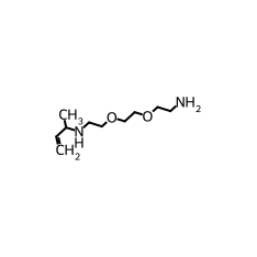 C=CC(C)NCCOCCOCCN